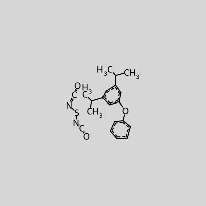 CC(C)c1cc(Oc2ccccc2)cc(C(C)C)c1.O=C=NSN=C=O